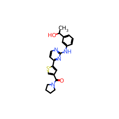 CC(O)c1cccc(Nc2nccc(-c3cc(C(=O)N4CCCC4)cs3)n2)c1